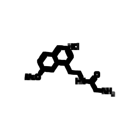 COc1ccc2cccc(CCNC(=O)CN)c2c1.Cl